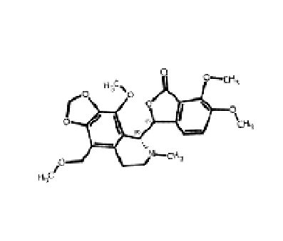 COCc1c2c(c(OC)c3c1OCO3)[C@H]([C@H]1OC(=O)c3c1ccc(OC)c3OC)N(C)CC2